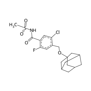 CS(=O)(=O)NC(=O)c1cc(Cl)c(COC23CC4CC(CC(C4)C2)C3)cc1F